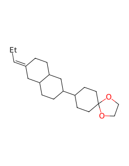 CCC=C1CCC2CC(C3CCC4(CC3)OCCO4)CCC2C1